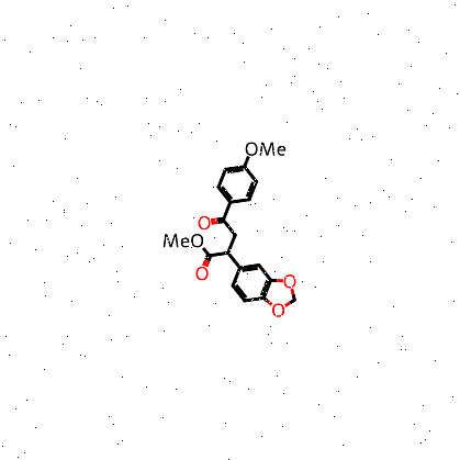 COC(=O)C(CC(=O)c1ccc(OC)cc1)c1ccc2c(c1)OCO2